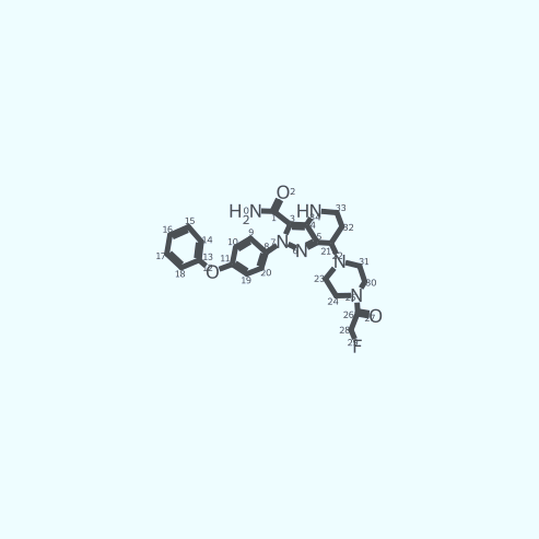 NC(=O)c1c2c(nn1-c1ccc(Oc3ccccc3)cc1)C(N1CCN(C(=O)CF)CC1)CCN2